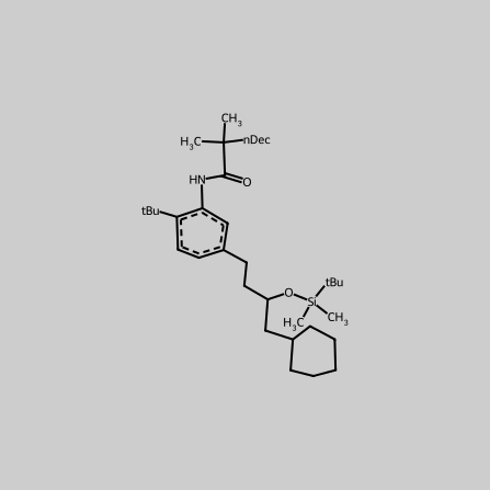 CCCCCCCCCCC(C)(C)C(=O)Nc1cc(CCC(CC2CCCCC2)O[Si](C)(C)C(C)(C)C)ccc1C(C)(C)C